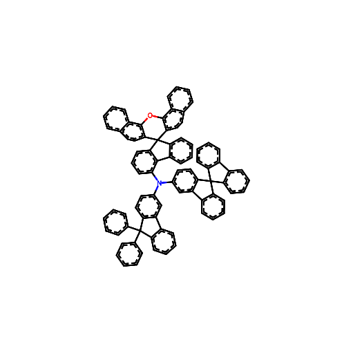 c1ccc(C2(c3ccccc3)c3ccccc3-c3cc(N(c4ccc5c(c4)-c4ccccc4C54c5ccccc5-c5ccccc54)c4cccc5c4-c4ccccc4C54c5ccc6ccccc6c5Oc5c4ccc4ccccc54)ccc32)cc1